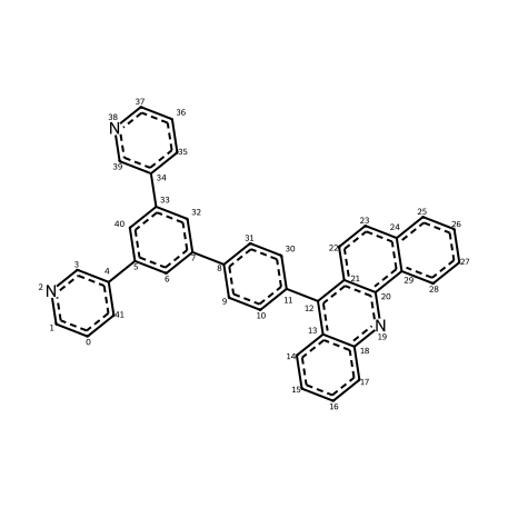 c1cncc(-c2cc(-c3ccc(-c4c5ccccc5nc5c4ccc4ccccc45)cc3)cc(-c3cccnc3)c2)c1